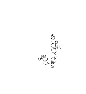 CCc1cc2ccc(CN3CCN(C(=O)C4CCC(C(N)=O)C4)CC3)cc2[nH]c1=O